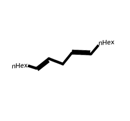 [CH2]CCCCCC=CCC=CCCCCCC